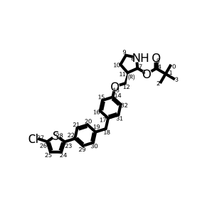 CC(C)(C)C(=O)OC1NCC[C@@H]1COc1ccc(Cc2ccc(-c3ccc(Cl)s3)cc2)cc1